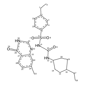 CCc1ccc(S(=O)(=O)NC(=O)NC2CCC(CC)CC2)cc1.Cc1ccc2c(=O)[nH]cnc2c1